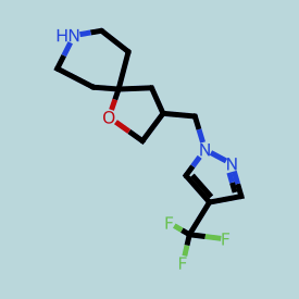 FC(F)(F)c1cnn(CC2COC3(CCNCC3)C2)c1